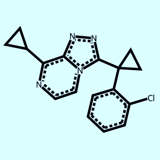 Clc1ccccc1C1(c2nnc3c(C4CC4)nccn23)CC1